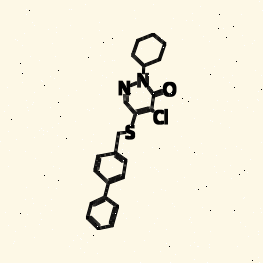 O=c1c(Cl)c(SCc2ccc(-c3ccccc3)cc2)cnn1C1CCCCC1